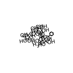 CC1OC(CO)C(O)C(O)C1OC1OC(CO)C(OC2OC(COC3(C(=O)OCC(=O)c4ccccc4)CC(O)C(N)[C@@H](C(O)C(O)CO)O3)C(O)C(O)C2O)C(O)C1C